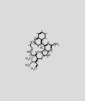 C=C/C(OC)=C(\C[C@H]1C[C@H]2C(C3=C4CCC=CC4=NCC3)=NC(N)=NC2N1)C(=C)[C@H](C)NOCC